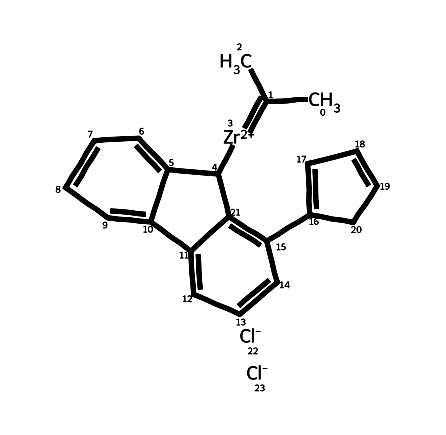 C[C](C)=[Zr+2][CH]1c2ccccc2-c2cccc(C3=CC=CC3)c21.[Cl-].[Cl-]